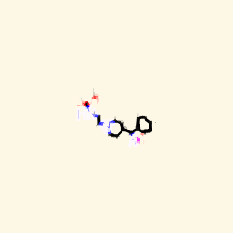 CC(C)(C)OC(=O)NCCN1CCC(c2noc3ccccc23)CC1